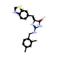 Cc1ccc(CNC2=N/C(=C\c3ccc4ncsc4c3)C(=O)N2)c(C)c1